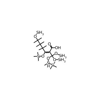 C[SiH](OC(O[SiH3])(O[SiH3])C(C(=O)O)=C(O[Si](C)(C)C)C(C)(C)C(C)(C)C(C)(C)O[SiH3])[Si](C)(C)C